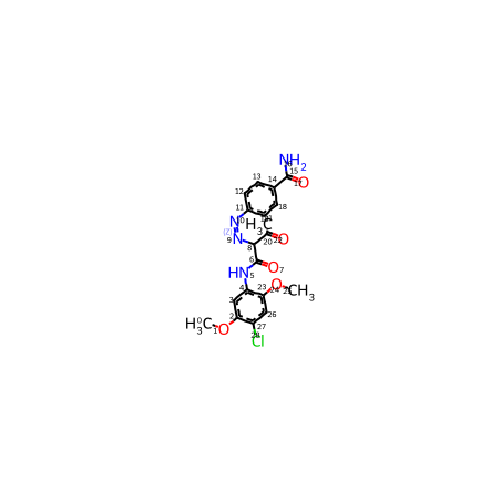 COc1cc(NC(=O)C(/N=N\c2ccc(C(N)=O)cc2)C(C)=O)c(OC)cc1Cl